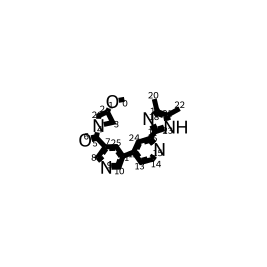 COC1CN(C(=O)c2cncc(-c3ccnc(-c4nc(C)c(C)[nH]4)c3)c2)C1